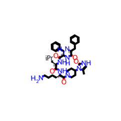 Cc1c[nH]c(=O)n1C1CCN(C(=O)[C@@H](CCCCN)NC(=O)[C@@H](CC(C)C)NC(=O)[C@@H](Cc2ccccc2)NC(=O)[C@H](N)Cc2ccccc2)CC1